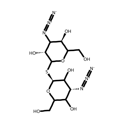 [N-]=[N+]=NC1[C@@H](O)C(CO)OC(S[C@@H]2OC(CO)C(O)[C@@H](N=[N+]=[N-])C2O)[C@@H]1O